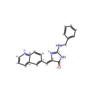 O=C1NC(NCc2ccccc2)=N/C1=C\c1ccc2ncccc2c1